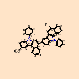 CC(C)c1cc2c3cc(-c4cc5c(c6ccccc46)c4cc(C(C)(C)C)ccc4n5-c4ccccc4)ccc3n(-c3ccccc3)c2c2ccccc12